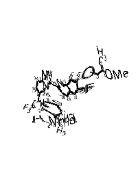 CO[C@H](C)COc1cc2nc(-c3nnc4ccc([C@H](N5CC[C@](C)(N)C5)C(F)(F)F)cn34)ccc2cc1F.Cl.Cl